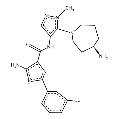 Cn1ncc(NC(=O)c2nc(-c3cccc(F)c3)sc2N)c1N1CCC[C@@H](N)CC1